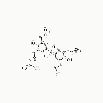 COCc1cc(C(C)(C)c2cc(COC)c(O)c(COCC(C)C)c2)cc(COC)c1O